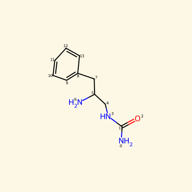 NC(=O)NCC(N)Cc1ccccc1